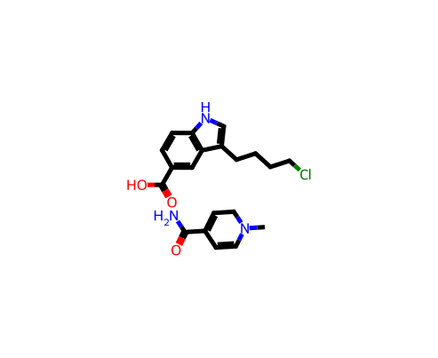 CN1C=CC(C(N)=O)=CC1.O=C(O)c1ccc2[nH]cc(CCCCCl)c2c1